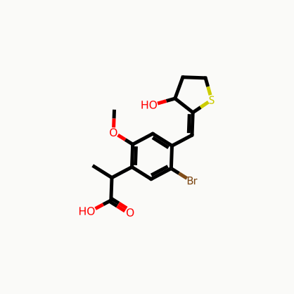 COc1cc(/C=C2/SCCC2O)c(Br)cc1C(C)C(=O)O